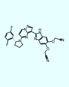 N#CCOc1cc2nc(-c3cnn4ccc(N5CCC[C@@H]5c5cc(F)ccc5F)nc34)[nH]c2cc1OCC#N